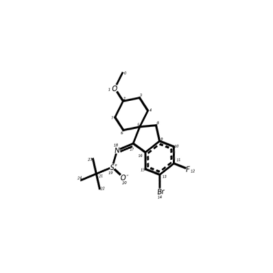 COC1CCC2(CC1)Cc1cc(F)c(Br)cc1C2=N[S+]([O-])C(C)(C)C